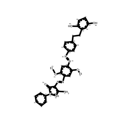 CCOc1cc(N=Nc2c(N)[nH]n(-c3ccccc3)c2=O)c(OCC)cc1N=Nc1ccc(CCc2cc(O)ccc2O)cc1